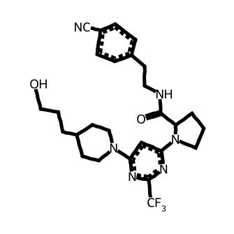 N#Cc1ccc(CCNC(=O)C2CCCN2c2cc(N3CCC(CCCO)CC3)nc(C(F)(F)F)n2)cc1